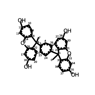 CC1(c2ccc(C3(C)c4ccc(O)cc4Oc4cc(O)ccc43)cc2)c2ccc(O)cc2Oc2cc(O)ccc21